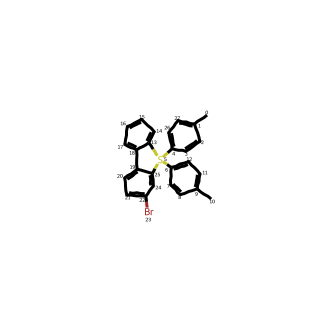 Cc1ccc(S2(c3ccc(C)cc3)c3ccccc3-c3ccc(Br)cc32)cc1